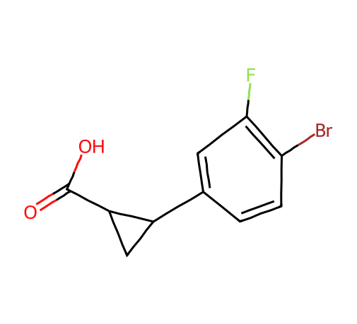 O=C(O)C1CC1c1ccc(Br)c(F)c1